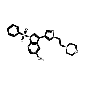 Cc1cnc2c(c1)c(-c1cnn(CCN3CCOCC3)c1)cn2S(=O)(=O)c1ccccc1